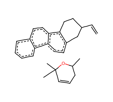 C=CC1CCc2c(ccc3c2ccc2ccccc23)C1.CC1CC=CC(C)(C)O1